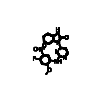 COc1cc(F)c([N+](=O)[O-])cc1Nc1nccc(-n2c(=O)[nH]c3ccccc32)n1